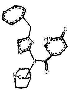 O=C(c1ccc(=O)[nH]c1)N(c1ncc(Cc2ccccc2)s1)C1CN2CCC1CC2